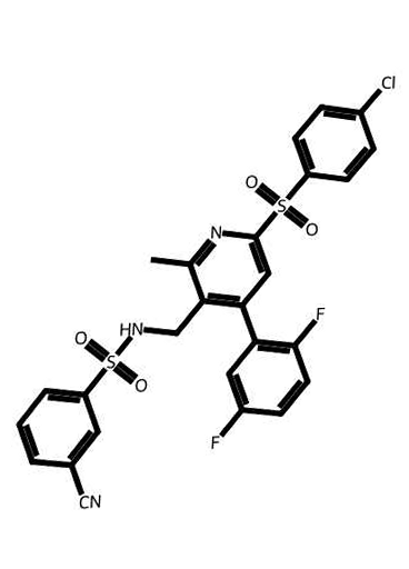 Cc1nc(S(=O)(=O)c2ccc(Cl)cc2)cc(-c2cc(F)ccc2F)c1CNS(=O)(=O)c1cccc(C#N)c1